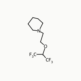 FC(F)(F)[C](OCCN1CCCCC1)C(F)(F)F